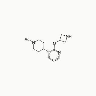 CC(=O)N1CC=C(c2cccnc2OC2CNC2)CC1